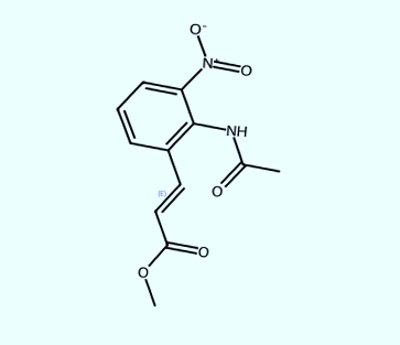 COC(=O)/C=C/c1cccc([N+](=O)[O-])c1NC(C)=O